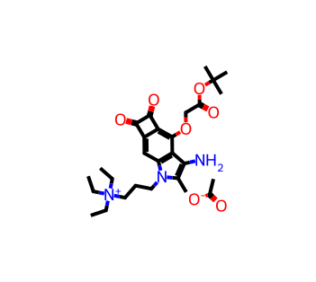 CC(=O)[O-].CC[N+](CC)(CC)CCCn1c(C)c(N)c2c(OCC(=O)OC(C)(C)C)c3c(=O)c(=O)c3cc21